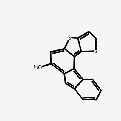 Oc1cc2sc3c(c2c2c1C=c1ccccc1=2)SCC=3